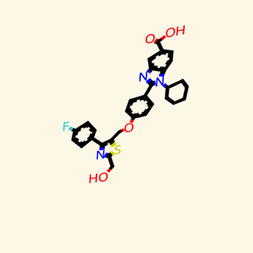 O=C(O)c1ccc2c(c1)nc(-c1ccc(OCc3sc(CO)nc3-c3ccc(F)cc3)cc1)n2C1CCCCC1